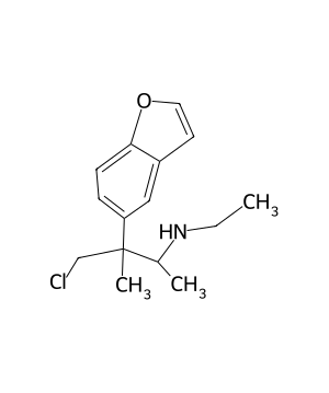 CCNC(C)C(C)(CCl)c1ccc2occc2c1